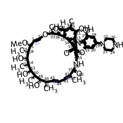 CO[C@H]1/C=C/O[C@@]2(C)Oc3c(C)c(O)c4c(=O)c(c5oc6cc(N7CCNCC7)cc(O)c6nc-5c4c3C2=O)NC(=O)/C(C)=C\C=C\[C@H](C)[C@H](O)[C@@H](C)[C@@H](O)[C@@H](C)[C@H](O)[C@@H]1C